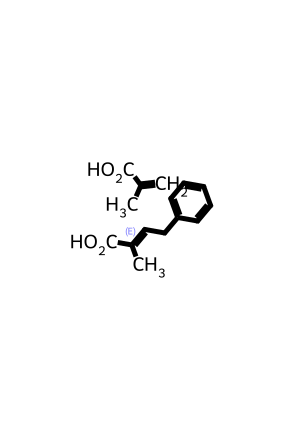 C/C(=C\Cc1ccccc1)C(=O)O.C=C(C)C(=O)O